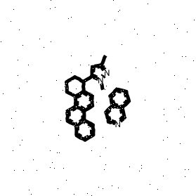 Cc1cc(C2CCCc3c2ccc2c3ccc3ccccc32)n(C)n1.c1ccc2cnccc2c1